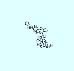 CC1(C)S[C@@H]2[C@@H](NC(=O)C(NC(=O)c3cnc(NCc4ccccc4)nc3O)c3ccccc3)C(=O)N2[C@@]1(NC=O)C(=O)O